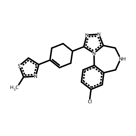 Cc1nc(C2=CCC(c3nnc4n3-c3ccc(Cl)cc3CNC4)CC2)cs1